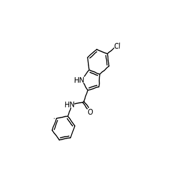 O=C(Nc1[c]cccc1)c1cc2cc(Cl)ccc2[nH]1